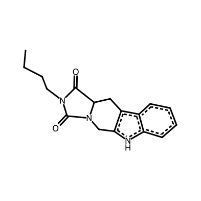 CCCCN1C(=O)C2Cc3c([nH]c4ccccc34)CN2C1=O